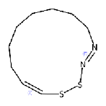 C1=C\SS/N=N/CCCCCCC/1